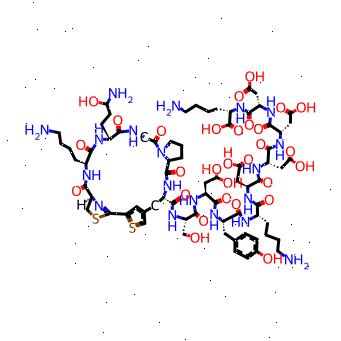 NCCCC[C@H](NC(=O)[C@H](CC(=O)O)NC(=O)[C@H](CC(=O)O)NC(=O)[C@H](CC(=O)O)NC(=O)[C@H](CC(=O)O)NC(=O)[C@H](CCCCN)NC(=O)[C@H](Cc1ccc(O)cc1)NC(=O)[C@H](CC(O)O)NC(=O)[C@H](CO)NC(=O)[C@@H]1Cc2csc(c2)C2=N[C@@H](CS2)C(=O)N[C@@H](CCCCN)C(=O)N[C@@H](CCC(N)O)C(=O)NCC(=O)N2CCCC2C(=O)N1)C(=O)O